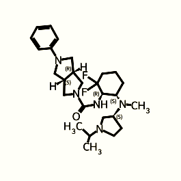 CC(C)N1CC[C@H](N(C)[C@H]2CCCC(F)(F)[C@@H]2NC(=O)N2C[C@@H]3CN(c4ccccc4)C[C@@H]3C2)C1